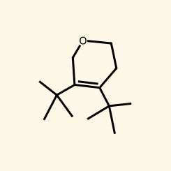 CC(C)(C)C1=C(C(C)(C)C)COCC1